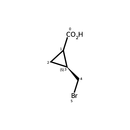 O=C(O)C1C[C@@H]1CBr